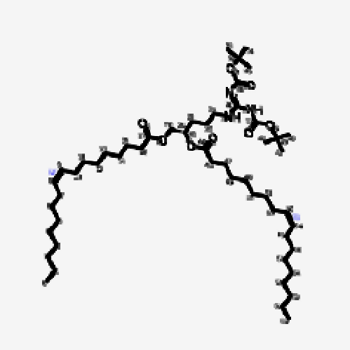 CCCCCCCC/C=C\CCCCCCCC(=O)OC[C@@H](CCCNC(=NC(=O)OC(C)(C)C)NC(=O)OC(C)(C)C)OC(=O)CCCCCCC/C=C\CCCCCCCC